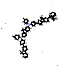 CCC(C)(C)C12CC3CC(CC(c4ccc5c(c4)C(C)(C)c4cc(-c6ccc(N(c7ccc(C)cc7)c7ccc8c(c7)C(C)(C)c7cc(N(c9ccc(C)cc9)c9ccc(-c%10ccc%11c(c%10)C(C)(C)c%10ccccc%10-%11)cc9)ccc7-8)cc6)ccc4-5)(C3)C1)C2